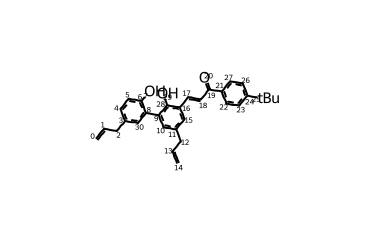 C=CCc1ccc(O)c(-c2cc(CC=C)cc(C=CC(=O)c3ccc(C(C)(C)C)cc3)c2O)c1